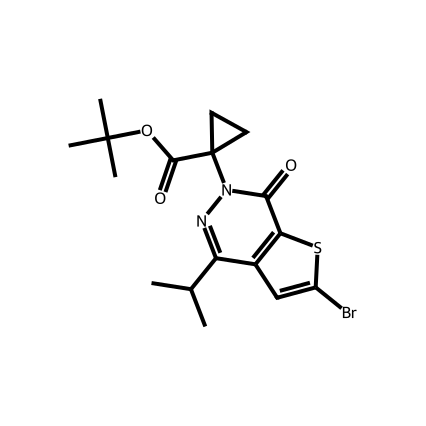 CC(C)c1nn(C2(C(=O)OC(C)(C)C)CC2)c(=O)c2sc(Br)cc12